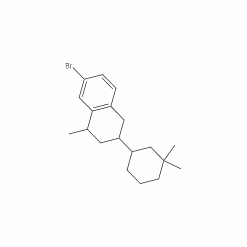 CC1CC(C2CCCC(C)(C)C2)Cc2ccc(Br)cc21